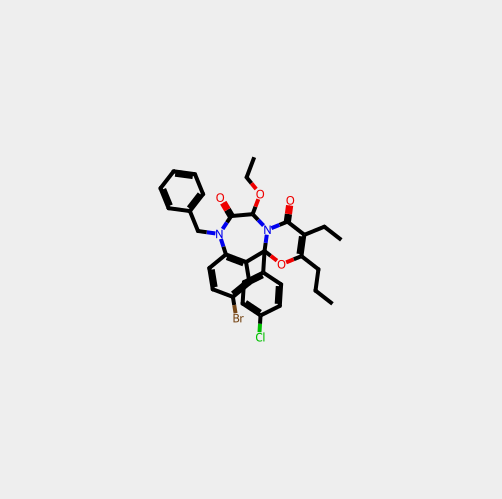 CCCC1=C(CC)C(=O)N2C(OCC)C(=O)N(Cc3ccccc3)c3ccc(Br)cc3C2(c2ccc(Cl)cc2)O1